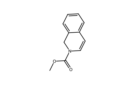 COC(=O)N1C=Cc2ccccc2C1